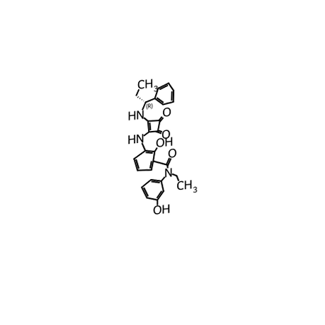 CC[C@@H](Nc1c(Nc2cccc(C(=O)N(CC)c3cccc(O)c3)c2O)c(=O)c1=O)c1ccccc1